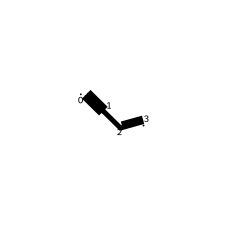 [C]#CC=[CH]